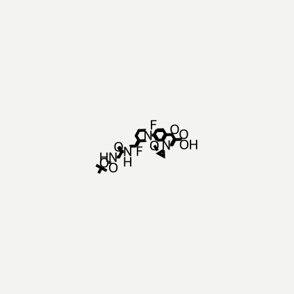 COc1c(N2CCCC(=C(F)CNC(=O)CNC(=O)OC(C)(C)C)C2)c(F)cc2c(=O)c(C(=O)O)cn(C3CC3)c12